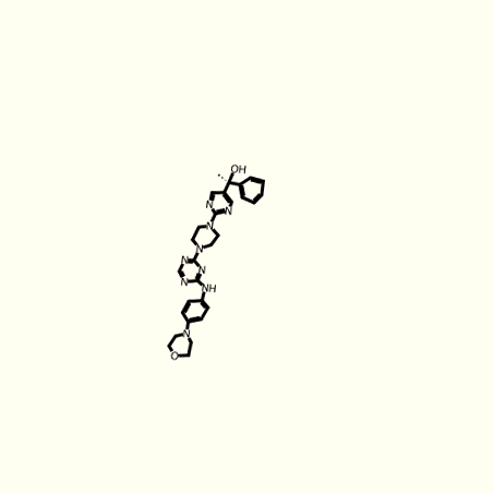 C[C@](O)(c1ccccc1)c1cnc(N2CCN(c3ncnc(Nc4ccc(N5CCOCC5)cc4)n3)CC2)nc1